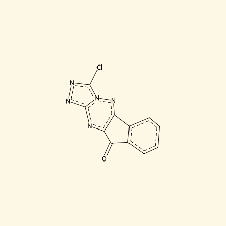 O=C1c2ccccc2-c2nn3c(Cl)nnc3nc21